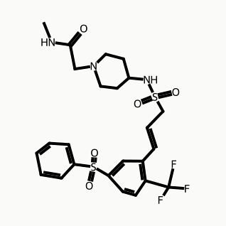 CNC(=O)CN1CCC(NS(=O)(=O)CC=Cc2cc(S(=O)(=O)c3ccccc3)ccc2C(F)(F)F)CC1